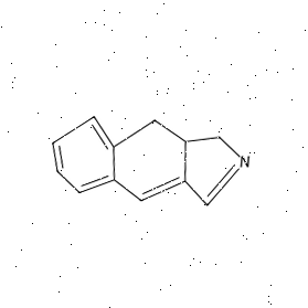 C1=NCC2Cc3ccccc3C=C12